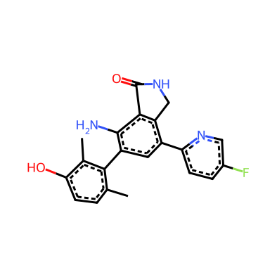 Cc1ccc(O)c(C)c1-c1cc(-c2ccc(F)cn2)c2c(c1N)C(=O)NC2